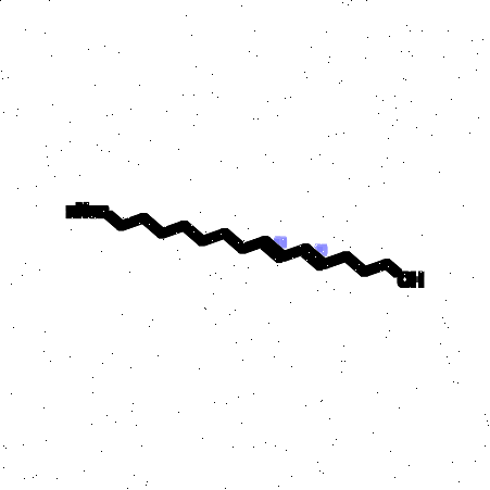 CCCCCCCCCCCCCCCC/C=C/C=C/CCCO